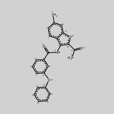 Cc1ccc2c(NC(=O)c3cccc(Oc4ccccc4)c3)c(C(N)=O)oc2c1